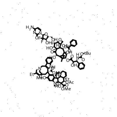 CC(=O)O[C@@]12CO[C@@H]1C[C@H](O)[C@@]1(C)C(=O)[C@H](O)C3=C(C)[C@@H](OC(=O)C(O)[C@@H](NC(=O)OC(C)(C)C)c4ccccc4)C[C@@](O)([C@@H](OC(=O)c4ccccc4)[C@H]21)C3(C)C.CCC1=C[C@@H]2C[N@](C1)Cc1c([nH]c3ccccc13)[C@@](C(=O)OC)(c1cc3c(cc1OC)N(C)[C@H]1[C@@](O)(C(=O)OC)[C@H](OC(C)=O)[C@]4(CC)C=CCN5CC[C@]31[C@@H]54)C2.Nc1ccn([C@@H]2O[C@H](CO)[C@@H](O)C2(F)F)c(=O)n1